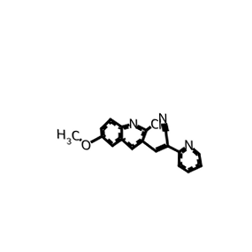 COc1ccc2nc(Cl)c(/C=C(\C#N)c3ccccn3)cc2c1